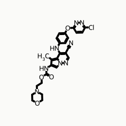 Cc1c(NC(=O)OCCN2CCOCC2)cn2ncc(C#N)c(Nc3ccc(Oc4ccc(Cl)nn4)cc3)c12